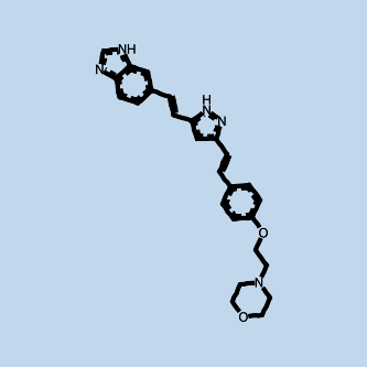 C(=Cc1cc(/C=C/c2ccc3nc[nH]c3c2)[nH]n1)c1ccc(OCCN2CCOCC2)cc1